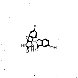 O=C1NC(=O)[C@@](c2ccc(F)cc2)(N2Cc3ccc(O)cc3C2=O)N1